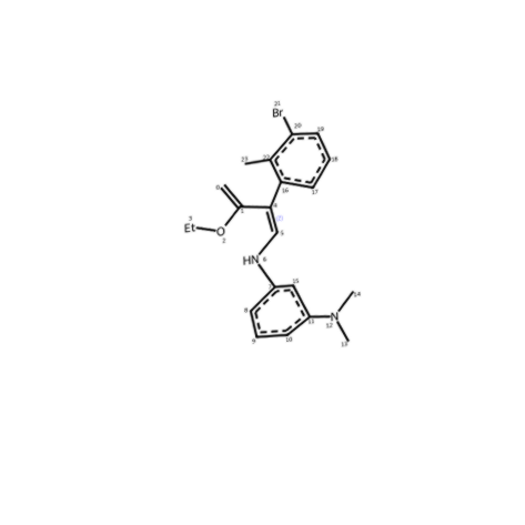 C=C(OCC)/C(=C\Nc1cccc(N(C)C)c1)c1cccc(Br)c1C